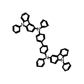 C1=CCCC(n2c3ccccc3c3cc(N(C4=CC=C(c5ccc(N(c6ccccc6)c6ccc7c(c6)c6ccccc6n7-c6ccccc6)cc5)CC4)c4ccccc4)ccc32)=C1